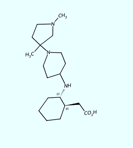 CN1CCC(C)(N2CCC(N[C@H]3CCCC[C@@H]3CC(=O)O)CC2)C1